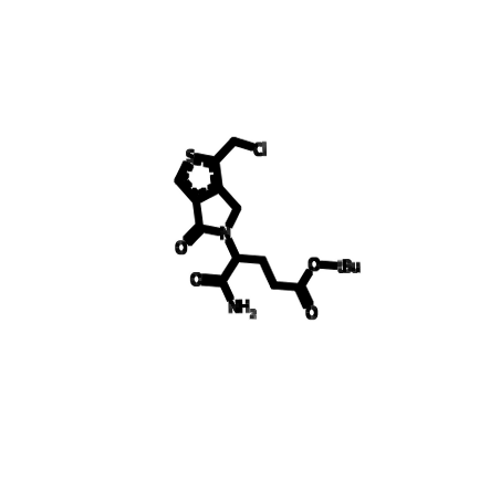 CC(C)(C)OC(=O)CCC(C(N)=O)N1Cc2c(csc2CCl)C1=O